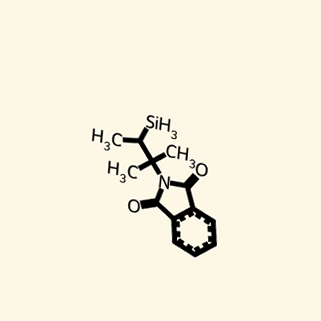 CC([SiH3])C(C)(C)N1C(=O)c2ccccc2C1=O